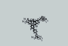 C[C@@H]1CN(c2cc(F)c(C3=CCN(COC(C)(C)C)CC3)cc2NC(=O)c2cnc(OCC[Si](C)(C)C)cc2C(F)(F)F)C[C@H](C)N1C